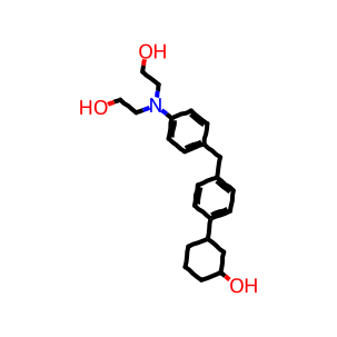 OCCN(CCO)c1ccc(Cc2ccc(C3CCCC(O)C3)cc2)cc1